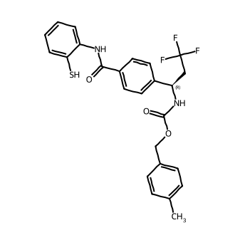 Cc1ccc(COC(=O)N[C@H](CC(F)(F)F)c2ccc(C(=O)Nc3ccccc3S)cc2)cc1